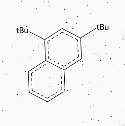 CC(C)(C)c1cc(C(C)(C)C)c2[c]cc[c]c2c1